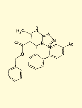 CC(=O)c1ccc(-c2ccccc2C2C(C(=O)OCc3ccccc3)=C(C)Nc3nnnn32)cc1